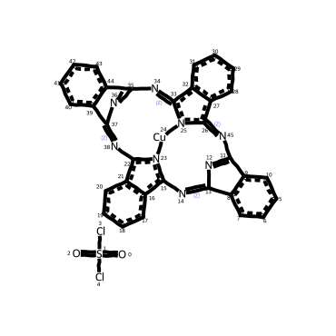 O=S(=O)(Cl)Cl.c1ccc2c(c1)C1=NC/2=N\c2c3ccccc3c3[n]2[Cu][n]2/c(c4ccccc4/c2=N/C2=N\C(=N/3)c3ccccc32)=N\1